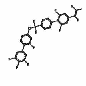 C/C(F)=C(\F)c1cc(F)c(-c2ccc(C(F)(F)Oc3ccc(-c4cc(F)c(F)c(F)c4)c(F)c3)cc2)c(F)c1